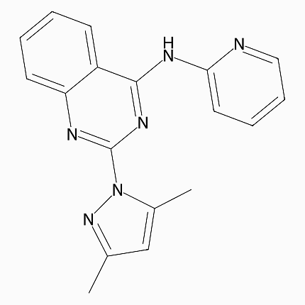 Cc1cc(C)n(-c2nc(Nc3ccccn3)c3ccccc3n2)n1